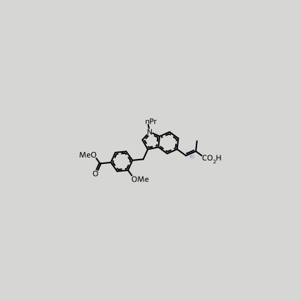 CCCn1cc(Cc2ccc(C(=O)OC)cc2OC)c2cc(/C=C(\C)C(=O)O)ccc21